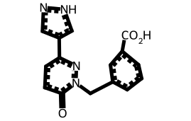 O=C(O)c1cccc(Cn2nc(-c3cn[nH]c3)ccc2=O)c1